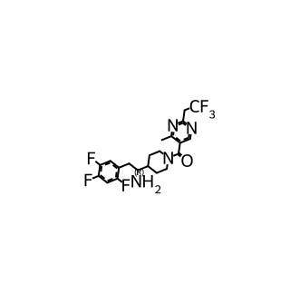 Cc1nc(CC(F)(F)F)ncc1C(=O)N1CCC([C@H](N)Cc2cc(F)c(F)cc2F)CC1